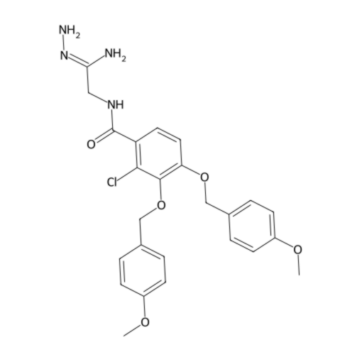 COc1ccc(COc2ccc(C(=O)NC/C(N)=N/N)c(Cl)c2OCc2ccc(OC)cc2)cc1